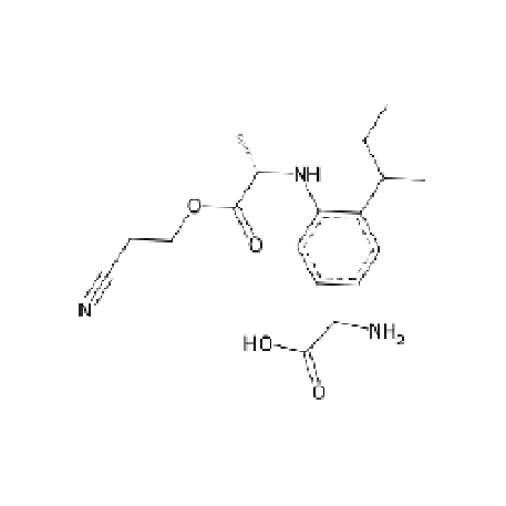 CCC(C)c1ccccc1N[C@@H](C)C(=O)OCCC#N.NCC(=O)O